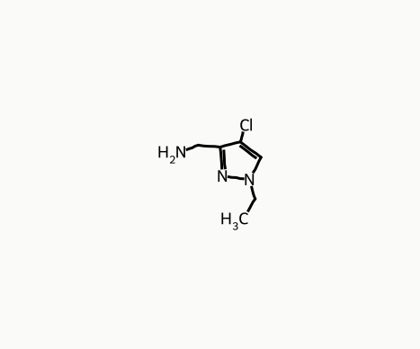 CCn1cc(Cl)c(CN)n1